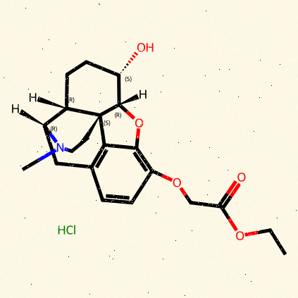 CCOC(=O)COc1ccc2c3c1O[C@H]1[C@@H](O)CC[C@H]4[C@@H](C2)N(C)CC[C@@]341.Cl